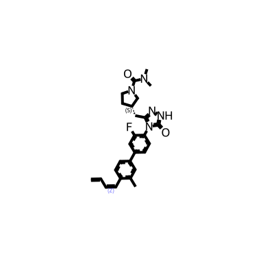 C=C/C=C\c1ccc(-c2ccc(-n3c(C[C@@H]4CCN(C(=O)N(C)C)C4)n[nH]c3=O)c(F)c2)cc1C